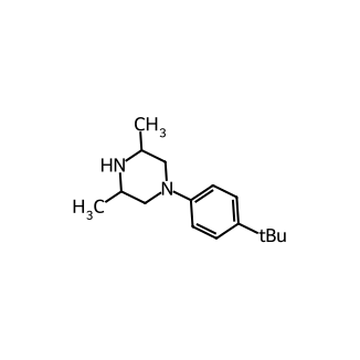 CC1CN(c2ccc(C(C)(C)C)cc2)CC(C)N1